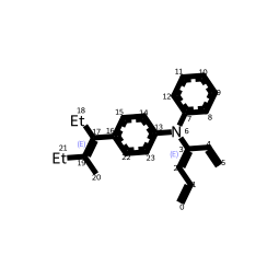 C=C/C=C(\C=C)N(c1ccccc1)c1ccc(/C(CC)=C(\C)CC)cc1